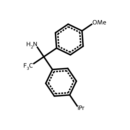 COc1ccc(C(N)(c2ccc(C(C)C)cc2)C(F)(F)F)cc1